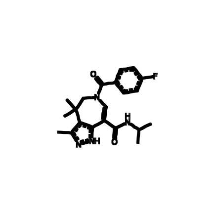 Cc1n[nH]c2c1C(C)(C)CN(C(=O)c1ccc(F)cc1)C=C2C(=O)NC(C)C